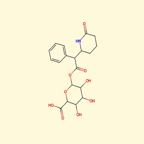 O=C1CCCC(C(C(=O)OC2OC(C(=O)O)C(O)C(O)C2O)c2ccccc2)N1